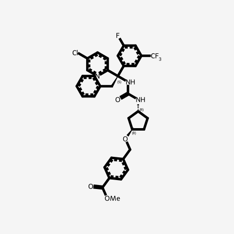 COC(=O)c1ccc(CO[C@@H]2CC[C@@H](NC(=O)N[C@@](Cc3ccccc3)(c3cc(F)cc(C(F)(F)F)c3)c3ccc(Cl)cn3)C2)cc1